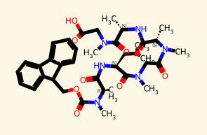 CC(C)C[C@H](NC(=O)[C@H](C)N(C)C(=O)OCC1c2ccccc2-c2ccccc21)C(=O)N(C)CC(=O)N(C)[C@@H](C)C(=O)N[C@@H](C)C(=O)N(C)CC(=O)O